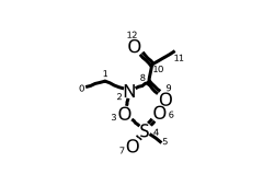 CCN(OS(C)(=O)=O)C(=O)C(C)=O